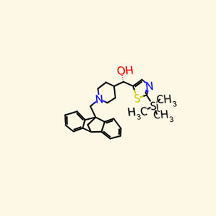 C[Si](C)(C)c1ncc([C@@H](O)C2CCN(CC34CC(c5ccccc53)c3ccccc34)CC2)s1